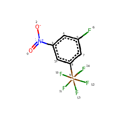 O=[N+]([O-])c1cc(F)cc(S(F)(F)(F)(F)F)c1